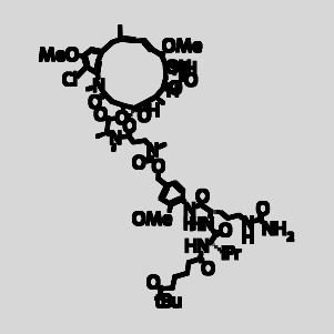 COc1cc(COC(=O)N(C)CCC(=O)N(C)[C@@H](C)C(=O)O[C@H]2CC(=O)N(C)c3cc(cc(OC)c3Cl)C/C(C)=C/C=C/[C@@H](OC)[C@@]3(O)C[C@H](OC(=O)N3)[C@@H](C)[C@@H]3O[C@@]23C)ccc1NC(=O)[C@H](CCCNC(N)=O)NC(=O)[C@@H](NC(=O)CCCCC(=O)C(C)(C)C)C(C)C